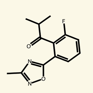 Cc1noc(-c2cccc(F)c2C(=O)C(C)C)n1